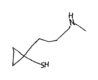 CNCCC1(S)CC1